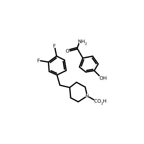 NC(=O)c1ccc(O)cc1.O=C(O)N1CCC(Cc2ccc(F)c(F)c2)CC1